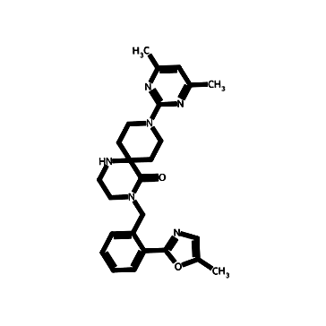 Cc1cc(C)nc(N2CCC3(CC2)NCCN(Cc2ccccc2-c2ncc(C)o2)C3=O)n1